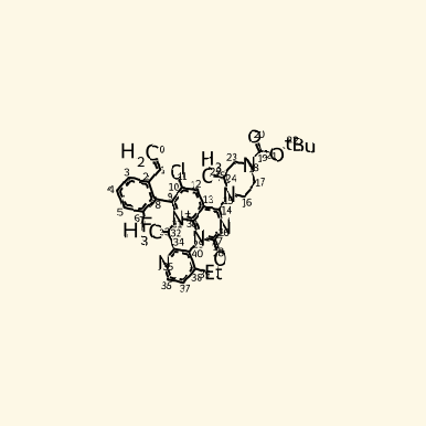 C=Cc1cccc(F)c1-c1c(Cl)cc2c(N3CCN(C(=O)OC(C)(C)C)C[C@@H]3C)nc(=O)n3c2[n+]1C(C)c1nccc(CC)c1-3